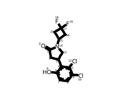 O=C1CC(c2c(O)ccc(Cl)c2Cl)CN1C1CC(F)(F)C1